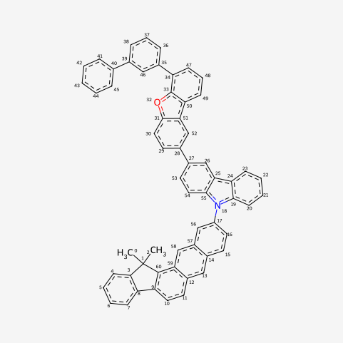 CC1(C)c2ccccc2-c2ccc3cc4ccc(-n5c6ccccc6c6cc(-c7ccc8oc9c(-c%10cccc(-c%11ccccc%11)c%10)cccc9c8c7)ccc65)cc4cc3c21